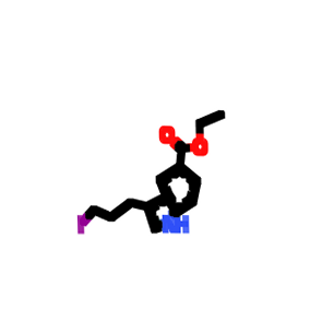 CCOC(=O)c1ccc2[nH]cc(CCCI)c2c1